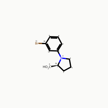 O=C(O)[C@@H]1CCCN1c1cccc(Br)c1